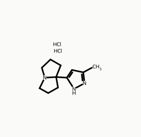 Cc1cc(C23CCCN2CCC3)[nH]n1.Cl.Cl